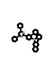 c1ccc(-c2cc(-c3ccccc3)nc(-c3ccc(-n4c5ccccc5c5cc6ccccc6cc54)c(-c4ccccc4)c3)n2)cc1